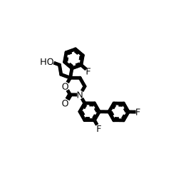 O=C1OC(CCO)(c2ccccc2F)CCN1c1ccc(F)c(-c2ccc(F)cc2)c1